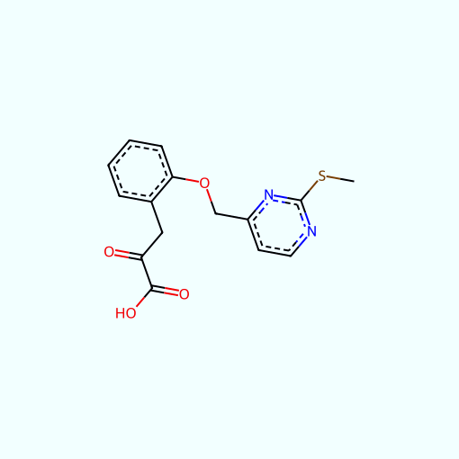 CSc1nccc(COc2ccccc2CC(=O)C(=O)O)n1